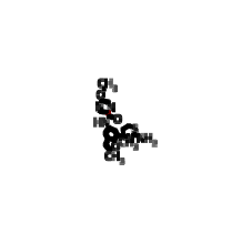 CCOc1cnc(C(=O)Nc2cc([C@]3(C)CCSC(N)=N3)c3oc(C)cc3c2)cn1